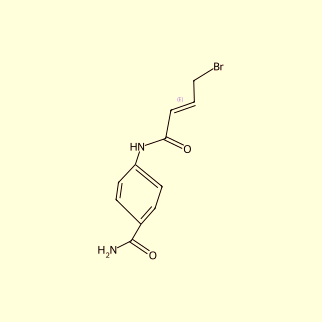 NC(=O)c1ccc(NC(=O)/C=C/CBr)cc1